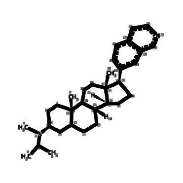 CC(C)N(C)[C@H]1CC[C@@]2(C)C(CC[C@@H]3C2CC[C@]2(C)[C@@H](c4ccc5ccncc5c4)CC[C@@H]32)C1